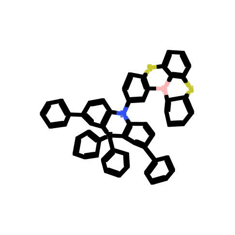 c1ccc(-c2ccc3c(c2)[Si](c2ccccc2)(c2ccccc2)c2cc(-c4ccccc4)ccc2N3c2ccc3c(c2)B2c4ccccc4Sc4cccc(c42)S3)cc1